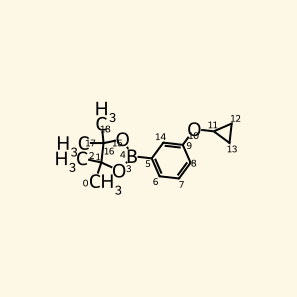 CC1(C)OB(c2cccc(OC3CC3)c2)OC1(C)C